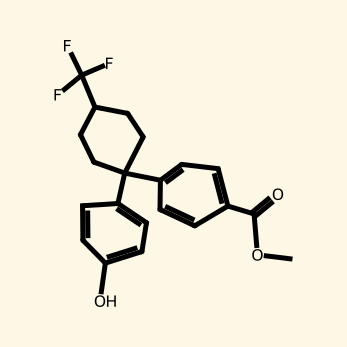 COC(=O)c1ccc(C2(c3ccc(O)cc3)CCC(C(F)(F)F)CC2)cc1